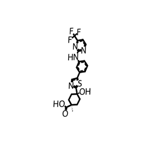 C[C@]1(C(=O)O)CC[C@](O)(c2ncc(-c3cccc(Nc4nccc(C(F)(F)F)n4)c3)s2)CC1